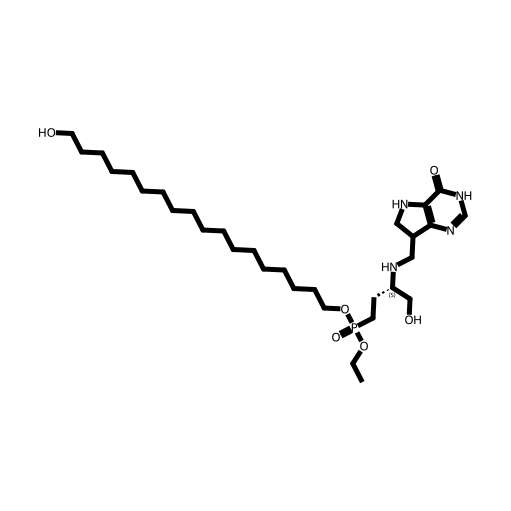 CCOP(=O)(CC[C@@H](CO)NCC1CNc2c1nc[nH]c2=O)OCCCCCCCCCCCCCCCCCCO